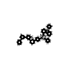 C1=CC2c3cc(-c4cccc(-c5ccccc5)c4)ccc3SC2C(c2ccc(-c3nc(-c4ccccc4)nc(-c4cccc5c4c4ccccc4n5-c4ccccc4)n3)cc2)=C1